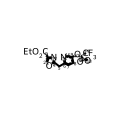 CCOC(=O)c1coc(Cc2ccc(OS(=O)(=O)C(F)(F)F)cn2)n1